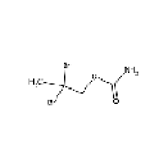 CC(Br)(Br)COC(N)=O